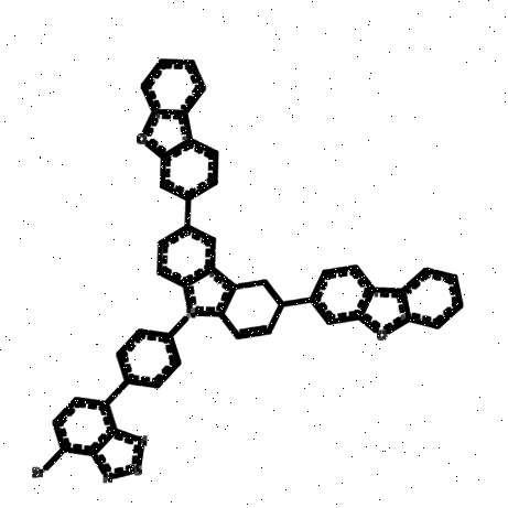 Brc1ccc(-c2ccc(-n3c4c(c5cc(-c6ccc7c(c6)oc6ccccc67)ccc53)CC(c3ccc5c(c3)oc3ccccc35)C=C4)cc2)c2nsnc12